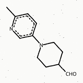 Cc1ccc(N2CCC(C=O)CC2)cn1